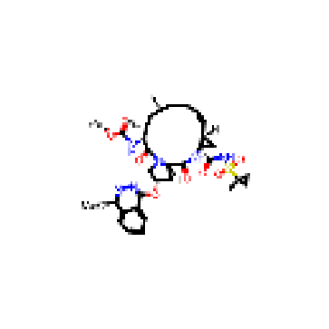 CC[C@@H]1C[C@@H](C)CC/C=C\[C@@H]2C[C@@]2(C(=O)NS(=O)(=O)C2(C)CC2)NC(=O)[C@@H]2C[C@@H](Oc3nnc(OC)c4ccccc34)CN2C(=O)[C@H]1NC(=O)OC(C)(C)C